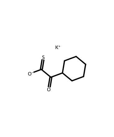 O=C(C([O-])=S)C1CCCCC1.[K+]